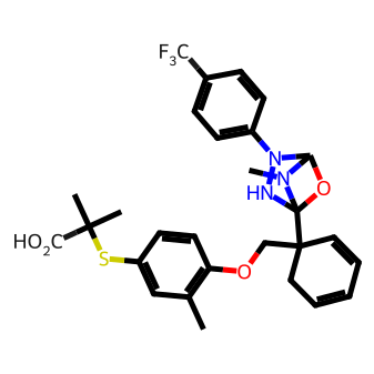 Cc1cc(SC(C)(C)C(=O)O)ccc1OCC1(C23NN(c4ccc(C(F)(F)F)cc4)C(O2)N3C)C=CC=CC1